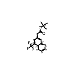 CC(C)(C)OC(=O)Cc1cc(C(F)(F)F)c2cccnc2c1